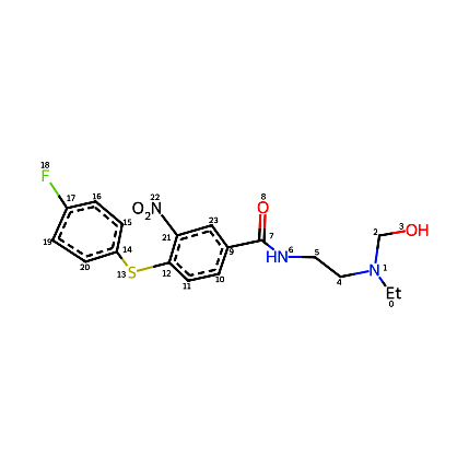 CCN(CO)CCNC(=O)c1ccc(Sc2ccc(F)cc2)c([N+](=O)[O-])c1